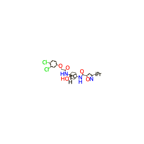 CC(C)c1cc(C(=O)NC23CCC(NC(=O)COc4ccc(Cl)c(Cl)c4)(CC2)[C@@H](O)C3)on1